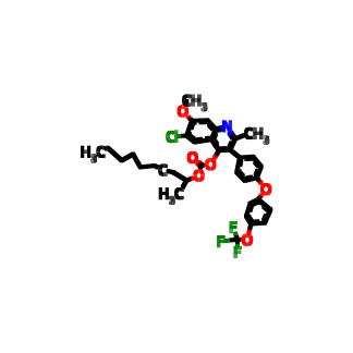 CCCCCCCCC(C)OC(=O)Oc1c(-c2ccc(Oc3ccc(OC(F)(F)F)cc3)cc2)c(C)nc2cc(OC)c(Cl)cc12